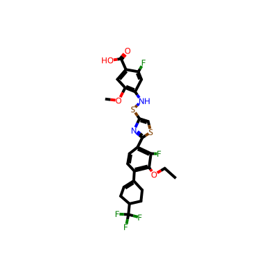 CCOc1c(C2=CCC(C(F)(F)F)CC2)ccc(-c2nc(SNc3cc(F)c(C(=O)O)cc3OC)cs2)c1F